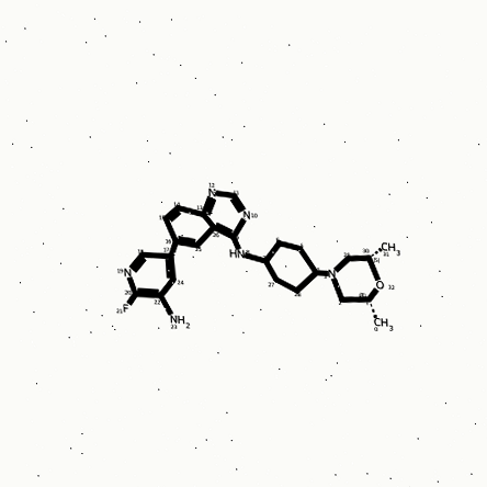 C[C@@H]1CN(C2CCC(Nc3ncnc4ccc(-c5cnc(F)c(N)c5)cc34)CC2)C[C@H](C)O1